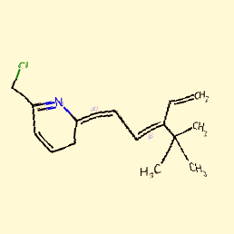 C=C/C(=C\C=C1/CC=CC(CCl)=N1)C(C)(C)C